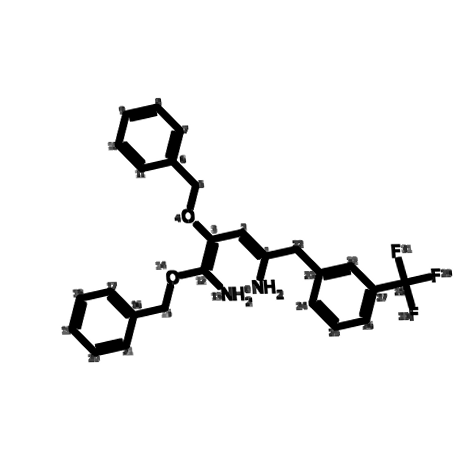 N/C(=C\C(OCc1ccccc1)=C(/N)OCc1ccccc1)Cc1cccc(C(F)(F)F)c1